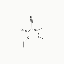 CCOC(=O)C(C#N)=C(C)OC